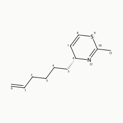 C=CCCCC[C@@H]1C=CSC(C)=N1